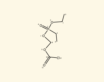 CCOP(=O)(CC)OCOC(=O)Cl